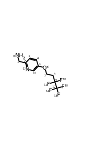 NCc1ccc(OCCC(F)(F)C(F)(F)F)cn1